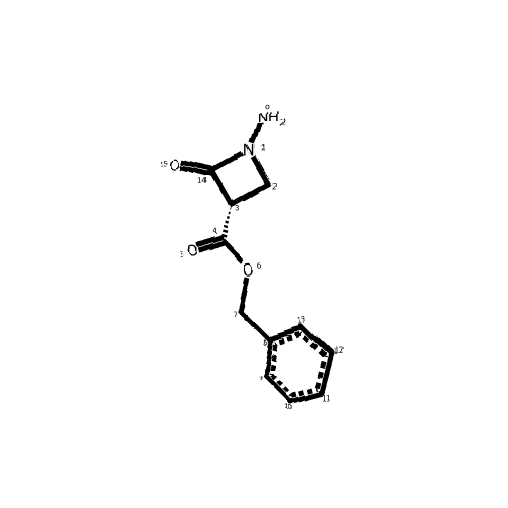 NN1C[C@H](C(=O)OCc2ccccc2)C1=O